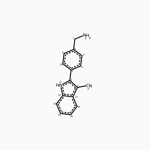 N#Cc1c(-c2ccc(CN)cc2)[nH]c2ccccc12